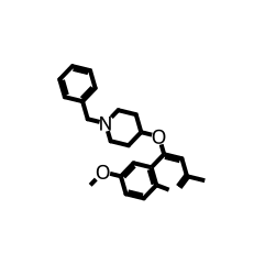 C=C(C)/C=C(/OC1CCN(Cc2ccccc2)CC1)c1cc(OC)ccc1C